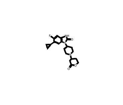 O=C1CC(N2CCC(n3c(=O)[nH]c4cc(F)c(C5CC5)cc43)CC2)CCO1